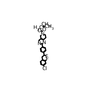 CC(C)(C)OC(=O)N1CCc2nc(-c3ccc(C(F)Cc4ccc(Cl)cc4F)cc3)ncc2C1